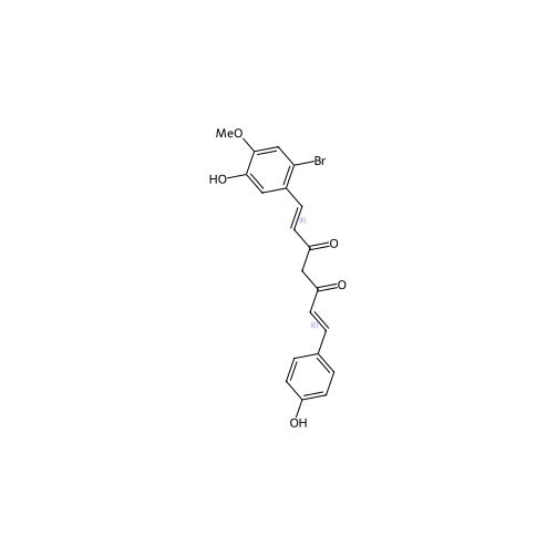 COc1cc(Br)c(/C=C/C(=O)CC(=O)/C=C/c2ccc(O)cc2)cc1O